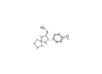 OC[C@@H]1OC2(CCCC2)O[C@H]1c1ccc(Cl)cc1